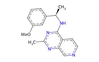 COc1cccc([C@@H](C)Nc2nc(C)nc3cnccc23)c1